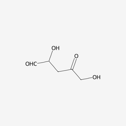 O=CC(O)CC(=O)CO